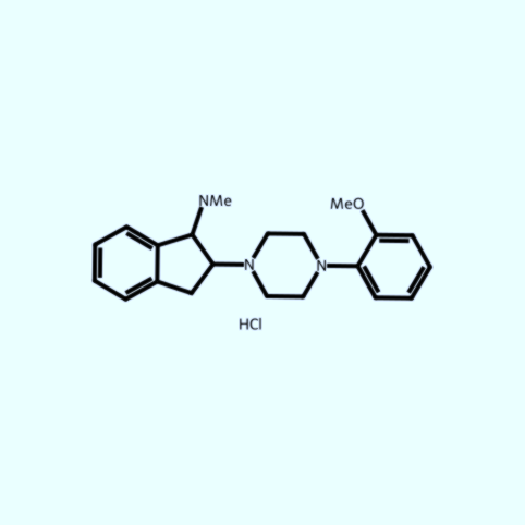 CNC1c2ccccc2CC1N1CCN(c2ccccc2OC)CC1.Cl